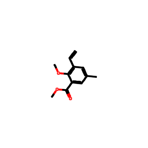 C=Cc1cc(C)cc(C(=O)OC)c1OC